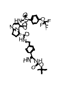 CC(C)(C)OC(=O)NC(=N)c1ccc(CNC(=O)[C@@H]2CCc3ncc(NS(=O)(=O)c4ccc(OC(F)(F)F)cc4)c(=O)n32)cc1